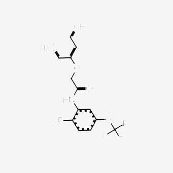 C=C/C=C(\C=C)OCC(=O)Nc1cc(OC(F)(F)F)ccc1F